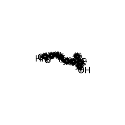 O=C1CCC(c2ccc(N3CC[C@]4(CCN(CC5CCN(c6ccc([C@@H]7c8ccc(O)cc8C(F)(F)C[C@@H]7c7ccccc7)cc6)CC5)C4)C3)cc2)C(=O)N1